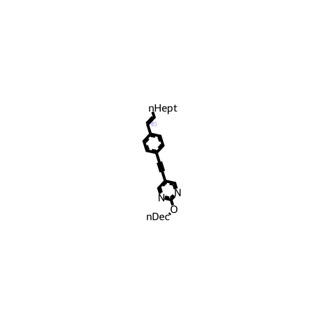 CCCCCCC/C=C/c1ccc(C#Cc2cnc(OCCCCCCCCCC)nc2)cc1